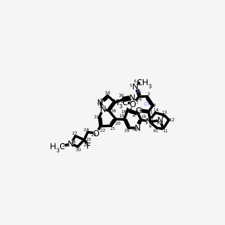 C=C(/C=C\C(=N/C)OC)CN1C2CC1CN(c1ccc(-c3cc(OCC4(F)CN(C)C4)cn4ncc(C#N)c34)cn1)C2